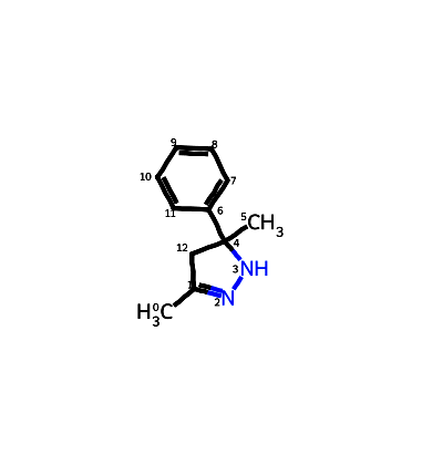 CC1=NNC(C)(c2ccccc2)C1